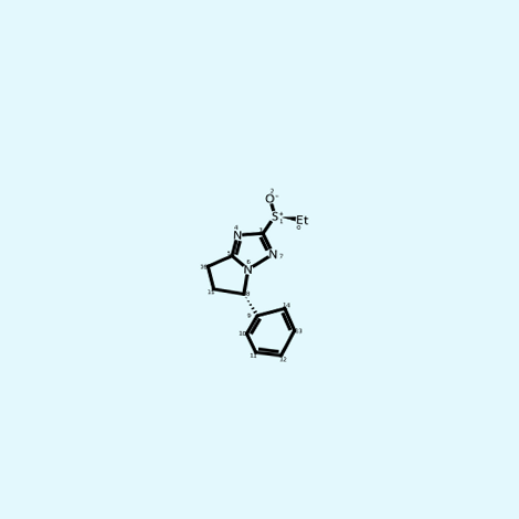 CC[S@+]([O-])c1nc2n(n1)[C@H](c1ccccc1)CC2